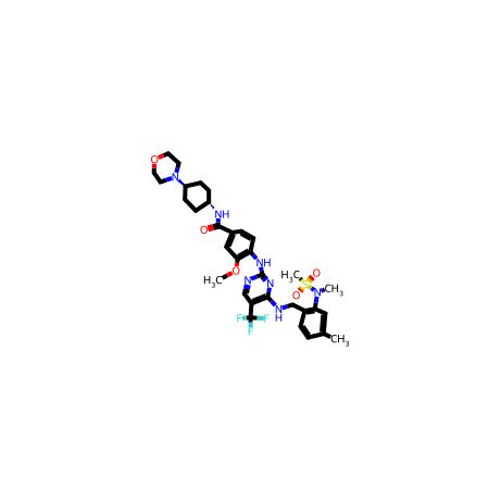 COc1cc(C(=O)N[C@H]2CC[C@H](N3CCOCC3)CC2)ccc1Nc1ncc(C(F)(F)F)c(NCc2ccc(C)cc2N(C)S(C)(=O)=O)n1